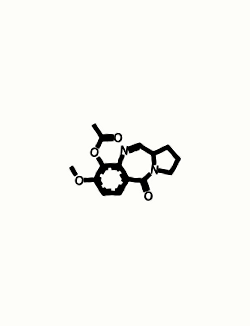 COc1ccc2c(c1OC(C)=O)N=CC1CCCN1C2=O